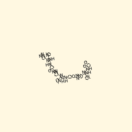 COc1cc(NCc2nc(-c3ccc4ncnn4c3)c(-c3cccc(C)n3)[nH]2)ccc1-c1nc2ccc(-c3nc(CNc4ccc(OCc5nc6ccc(-c7nc(CNc8cccc(OC)c8OC)[nH]c7-c7cccc(C)n7)cn6n5)cc4)[nH]c3-c3cccc(C)n3)cn2n1